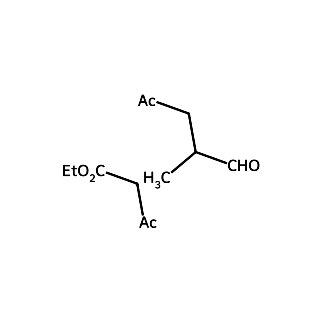 CC(=O)CC(C)C=O.CCOC(=O)CC(C)=O